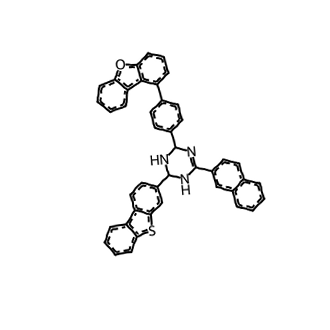 c1ccc2cc(C3=NC(c4ccc(-c5cccc6oc7ccccc7c56)cc4)NC(c4ccc5c(c4)sc4ccccc45)N3)ccc2c1